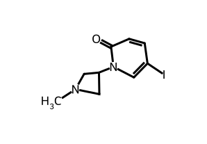 CN1CC(n2cc(I)ccc2=O)C1